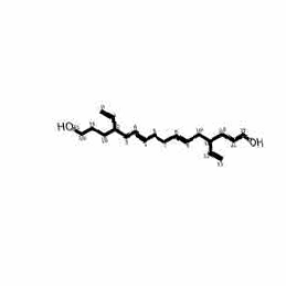 C=CC(C/C=C/CC/C=C/CC(C=C)CCCO)CCCO